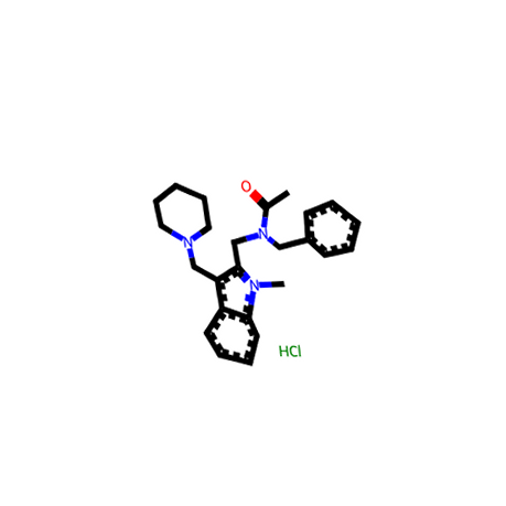 CC(=O)N(Cc1ccccc1)Cc1c(CN2CCCCC2)c2ccccc2n1C.Cl